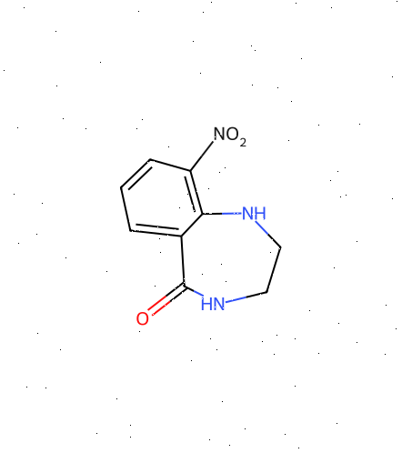 O=C1NCCNc2c1cccc2[N+](=O)[O-]